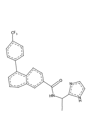 CC(NC(=O)c1ccc2c(-c3ccc(C(F)(F)F)cc3)cccc2c1)c1ncc[nH]1